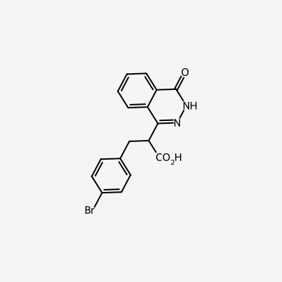 O=C(O)C(Cc1ccc(Br)cc1)c1n[nH]c(=O)c2ccccc12